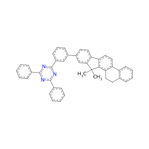 CC1(C)c2cc(-c3cccc(-c4nc(-c5ccccc5)nc(-c5ccccc5)n4)c3)ccc2-c2ccc3c(c21)CCc1ccccc1-3